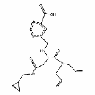 C=CCN(CC=C)C(=O)C(CC(=O)NCC1CC1)NCc1cc(C(=O)O)ccn1